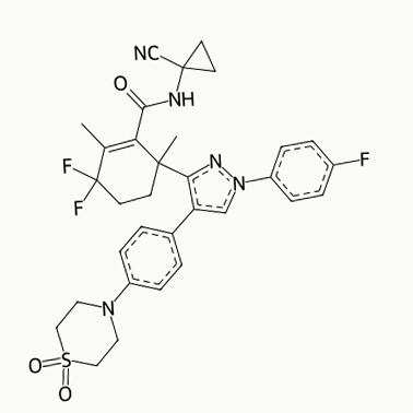 CC1=C(C(=O)NC2(C#N)CC2)C(C)(c2nn(-c3ccc(F)cc3)cc2-c2ccc(N3CCS(=O)(=O)CC3)cc2)CCC1(F)F